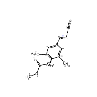 COC(=O)Nc1c(C)cc(/C=C/C#N)cc1C